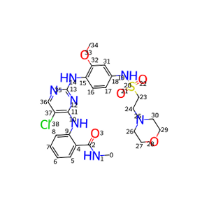 CNC(=O)c1ccccc1Nc1nc(Nc2ccc(NS(=O)(=O)CCN3CCOCC3)cc2OC)ncc1Cl